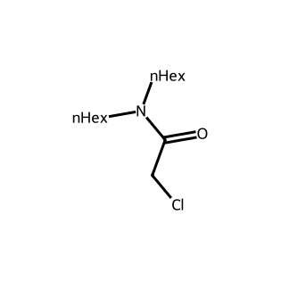 CCCCCCN(CCCCCC)C(=O)CCl